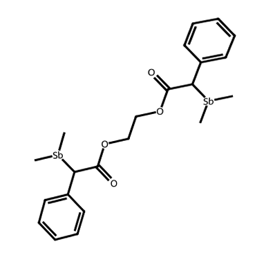 [CH3][Sb]([CH3])[CH](C(=O)OCCOC(=O)[CH](c1ccccc1)[Sb]([CH3])[CH3])c1ccccc1